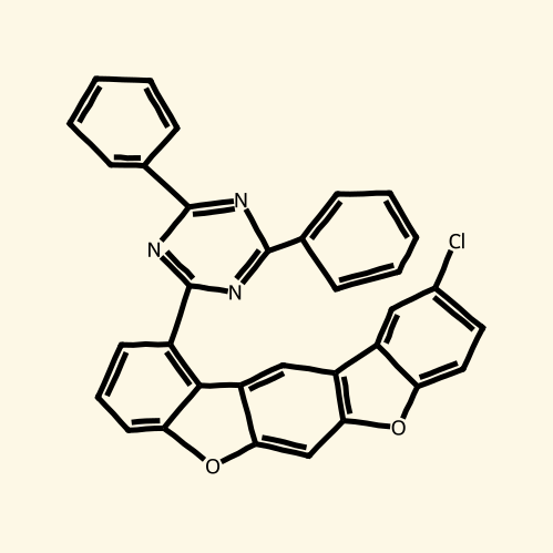 Clc1ccc2oc3cc4oc5cccc(-c6nc(-c7ccccc7)nc(-c7ccccc7)n6)c5c4cc3c2c1